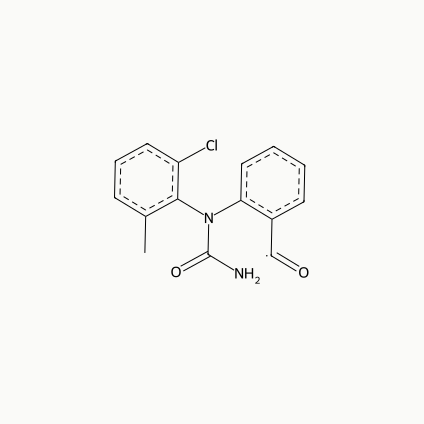 Cc1cccc(Cl)c1N(C(N)=O)c1ccccc1[C]=O